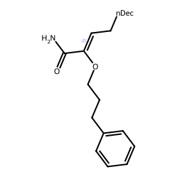 CCCCCCCCCCC/C=C(\OCCCc1ccccc1)C(N)=O